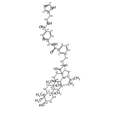 C=C(C)C1CCC2(C(=O)NCCc3cccc(C(=O)NCc4ccc(C(=O)NCCc5cnc[nH]5)cn4)c3)CC[C@]3(C)C(CCC4C5(C)CCC(O)C(C)(C)C5CCC43C)C12